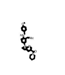 COc1ccc(CNc2ccc(-n3ccc4cc(C(=O)N5CCCCC5)cnc43)cc2C=N)cc1